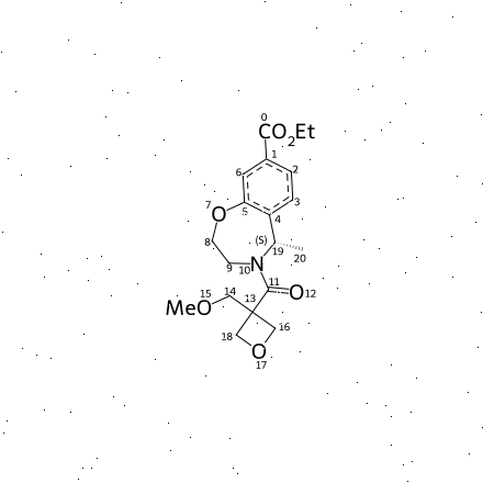 CCOC(=O)c1ccc2c(c1)OCCN(C(=O)C1(COC)COC1)[C@H]2C